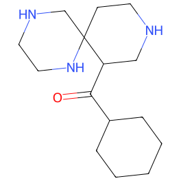 O=C(C1CCCCC1)C1CNCCC12CNCCN2